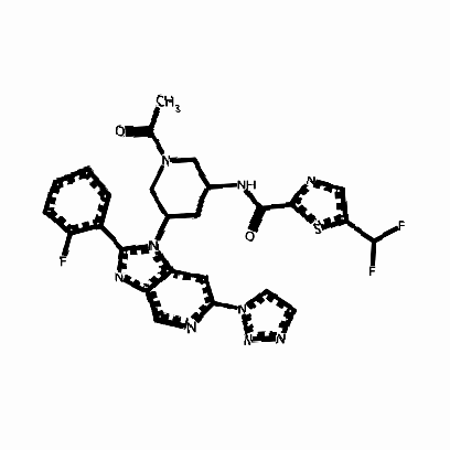 CC(=O)N1CC(NC(=O)c2ncc(C(F)F)s2)CC(n2c(-c3ccccc3F)nc3cnc(-n4ccnn4)cc32)C1